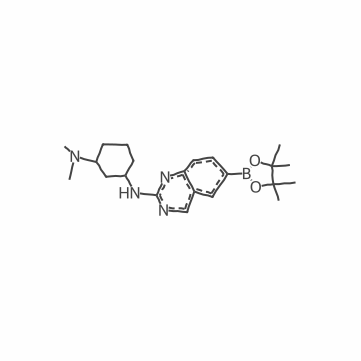 CN(C)C1CCCC(Nc2ncc3cc(B4OC(C)(C)C(C)(C)O4)ccc3n2)C1